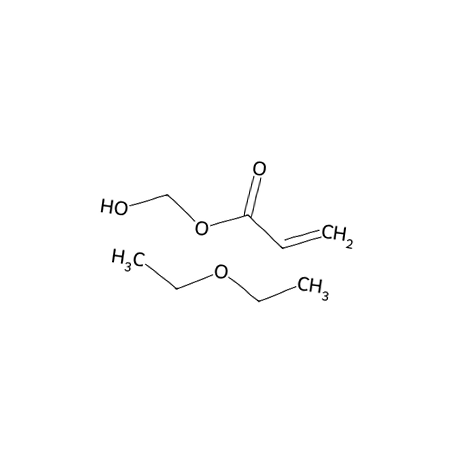 C=CC(=O)OCO.CCOCC